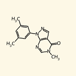 Cc1cc(C)cc(-n2ncc3c(=O)n(C)cnc32)c1